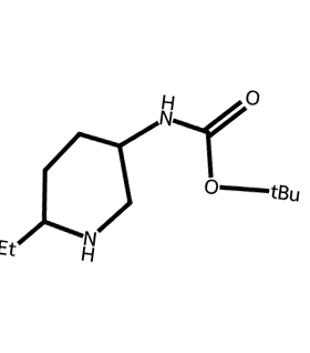 CCC1CCC(NC(=O)OC(C)(C)C)CN1